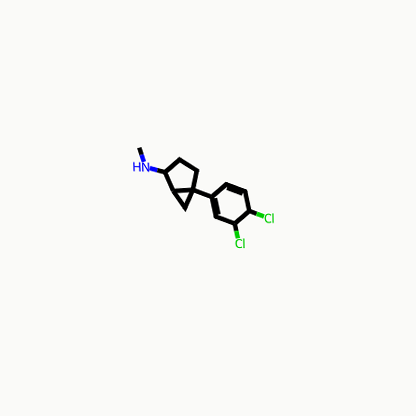 CNC1CCC2(C3=CC(Cl)C(Cl)C=C3)CC12